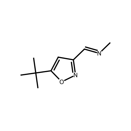 CN=Cc1cc(C(C)(C)C)on1